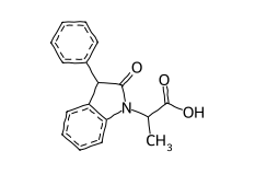 CC(C(=O)O)N1C(=O)C(c2ccccc2)c2ccccc21